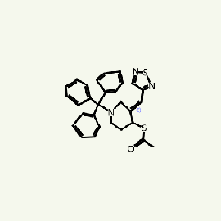 CC(=O)SC1CCN(C(c2ccccc2)(c2ccccc2)c2ccccc2)C/C1=C\c1cnsn1